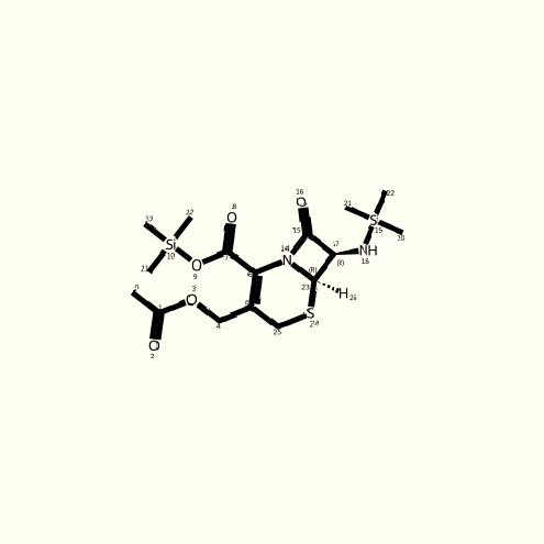 CC(=O)OCC1=C(C(=O)O[Si](C)(C)C)N2C(=O)[C@@H](N[Si](C)(C)C)[C@H]2SC1